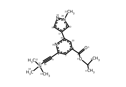 CC(C)OC(=O)c1cc(C#C[Si](C)(C)C)nc(-c2cnn(C)c2)c1